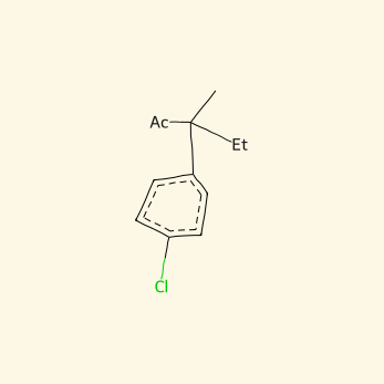 CCC(C)(C(C)=O)c1ccc(Cl)cc1